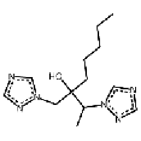 CCCCCC(O)(Cn1cncn1)C(C)n1cncn1